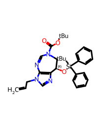 C=CCn1cnc2c1N=CN(C(=O)OC(C)(C)C)C[C@H]2O[Si](c1ccccc1)(c1ccccc1)C(C)(C)C